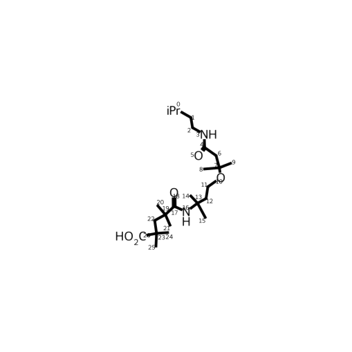 CC(C)CCNC(=O)CC(C)(C)OCCC(C)(C)NC(=O)C(C)(C)CC(C)(C)C(=O)O